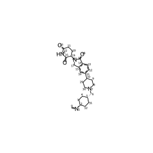 C=N[C@H]1CC[C@H](CN2CCC(c3ccc4c(c3)CN(C3CCC(=O)NC3=O)C4=O)CC2)CC1